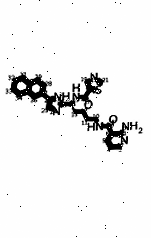 Nc1ncccc1C(=O)NCCCC[C@H](NC(=O)c1cncs1)c1ncc(-c2ccc3ccccc3c2)[nH]1